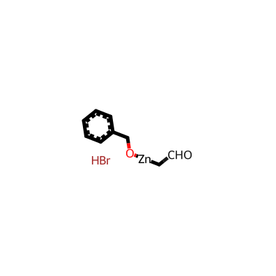 Br.O=C[CH2][Zn][O]Cc1ccccc1